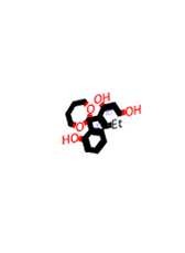 CC/C=C(\C(O)=C/CO)C1(c2ccccc2O)OCCCCO1